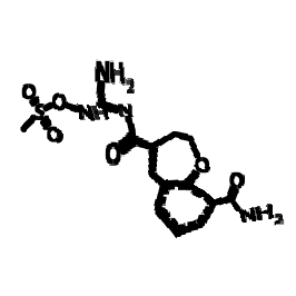 CS(=O)(=O)ONC(N)=NC(=O)C1=Cc2cccc(C(N)=O)c2OCC1